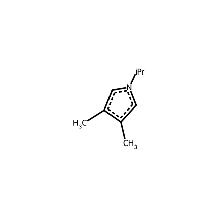 Cc1cn(C(C)C)cc1C